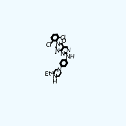 CC[C@@H]1CN(c2ccc(Nc3ncc4c(n3)N(C)CN(c3c(Cl)cccc3Cl)C4=O)cc2)CCN1